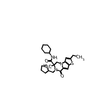 CCc1cc2c(cc3n2CC(C)(C(=O)NC2CCCCC2)N(CC2CCCO2)C3=O)s1